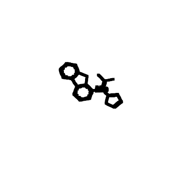 C[C](C)=[Mo]([C]1=CC=CC1)[c]1cccc2c1Cc1ccccc1-2